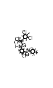 Cc1c(Cl)cc([C@@H]2[C@@H](C(=O)Nc3ccc(Cl)c(C(=O)N(C)c4ccc(F)cc4)c3)C2(Cl)Cl)cc1Cl